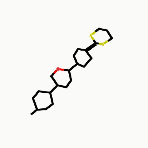 CC1CCC(C2CCC(C3CCC(=C4SCCCS4)CC3)OC2)CC1